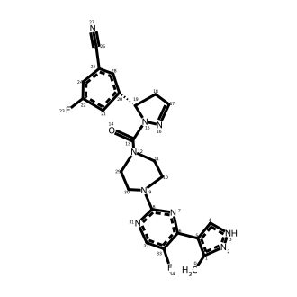 Cc1n[nH]cc1-c1nc(N2CCN(C(=O)N3N=CC[C@H]3c3cc(F)cc(C#N)c3)CC2)ncc1F